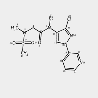 CCN(C(=O)CN(C)S(C)(=O)=O)c1cn(-c2cccnc2)nc1Cl